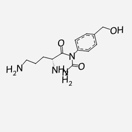 NCCC[C@@H](N)C(=O)N(C(N)=O)c1ccc(CO)cc1